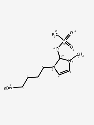 CCCCCCCCCCCCCCN1C=CN(C)C1OS(=O)(=O)C(F)(F)F